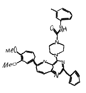 COc1ccc(-c2ccc3nc(-c4ccccc4)nc(N4CCN(C(=O)Nc5cccc(C)c5)CC4)c3n2)cc1OC